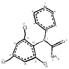 NC(=O)N(c1ccncc1)c1c(Cl)cc(Cl)cc1Cl